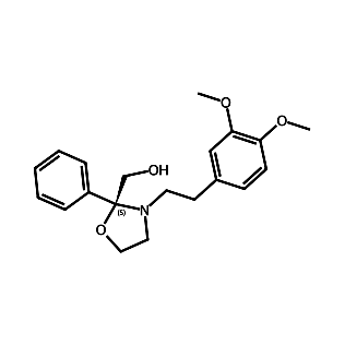 COc1ccc(CCN2CCO[C@]2(CO)c2ccccc2)cc1OC